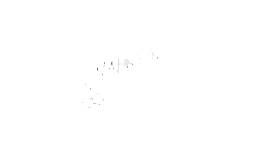 CC(c1cccc2ccccc12)N1CCC(N(CC(=O)NCC(=O)NCC=CC(N)=O)C(=O)C2CCC2)CC1